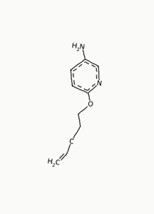 C=CCCCOc1ccc(N)cn1